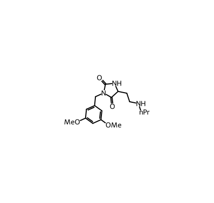 CCCNCCC1NC(=O)N(Cc2cc(OC)cc(OC)c2)C1=O